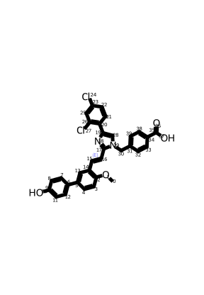 COc1ccc(-c2ccc(O)cc2)cc1/C=C/c1nc(-c2ccc(Cl)cc2Cl)cn1Cc1ccc(C(=O)O)cc1